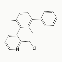 Cc1ccc(-c2ccccc2)c(C)c1-c1cccnc1CCl